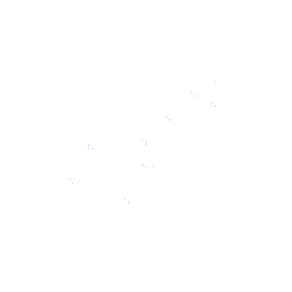 COc1cnc(Cl)cc1-c1cc(C)ncc1C(=O)Nc1nc2c(s1)CN(C(=O)c1ccnc(C(F)(F)F)n1)C2